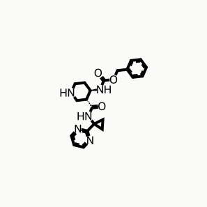 O=C(N[C@@H]1CCNC[C@H]1C(=O)NC1(c2ncccn2)CC1)OCc1ccccc1